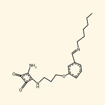 CCCCCCN=Cc1cccc(OCCCNc2c(N)c(=O)c2=O)c1